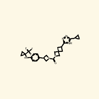 O=C(N1CC(c2ccc(NC3(C(F)(F)F)CC3)cc2)C1)N1CC2(CC(c3nnc(C4CC4)[nH]3)C2)C1